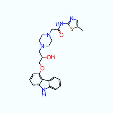 Cc1cnc(NC(=O)CN2CCN(CC(O)COc3cccc4[nH]c5ccccc5c34)CC2)s1